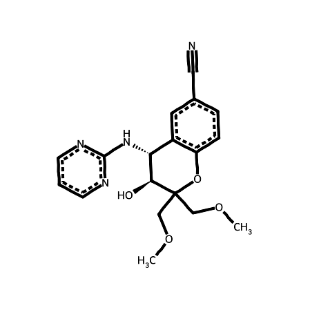 COCC1(COC)Oc2ccc(C#N)cc2[C@@H](Nc2ncccn2)[C@@H]1O